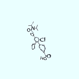 CC(C)N(C(=O)COc1cc(Cl)c(-c2ccc(C(=O)O)cc2)c(Cl)c1)C(C)C